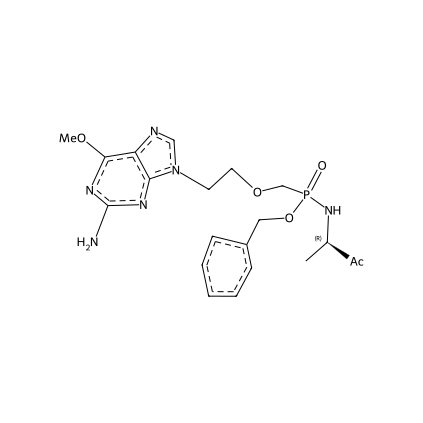 COc1nc(N)nc2c1ncn2CCOCP(=O)(N[C@H](C)C(C)=O)OCc1ccccc1